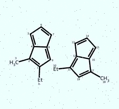 CCC1=C(C)C2=CC=CC2=C1.CCC1=C2C=CC=C2C(C)=C1